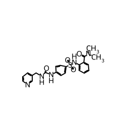 CN(C)C(=O)c1ccccc1NS(=O)(=O)c1ccc(NC(=O)NCc2cccnc2)cc1